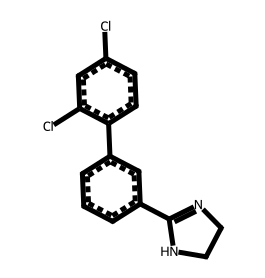 Clc1ccc(-c2cccc(C3=NCCN3)c2)c(Cl)c1